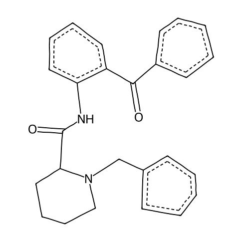 O=C(c1ccccc1)c1ccccc1NC(=O)C1CCCCN1Cc1ccccc1